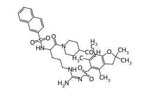 Cc1c(C)c(S(=O)(=O)/N=C(/N)NCCCC(NS(=O)(=O)c2ccc3ccccc3c2)C(=O)N2CCC(C(=O)O)CC2)c(C)c2c1OC(C)(C)C2